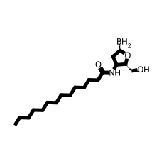 B[C@H]1CC(NC(=O)CCCCCCCCCCCCC)[C@@H](CO)O1